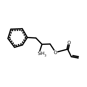 C=CC(=O)OCC([SiH3])Cc1ccccc1